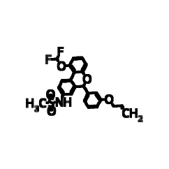 C=CCOc1cccc(C2Oc3cccc(OC(F)F)c3-c3ccc(NS(C)(=O)=O)cc32)c1